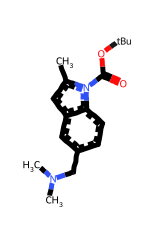 Cc1cc2cc(CN(C)C)ccc2n1C(=O)OC(C)(C)C